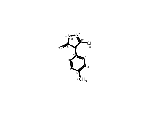 Cc1ccc(C2C(=O)NN=C2O)cc1